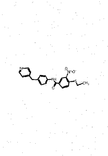 CCSc1ccc(C(=O)Nc2ccc(Cc3ccncc3)cc2)cc1[N+](=O)[O-]